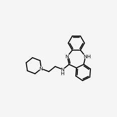 c1ccc2c(c1)N=C(NCCN1CCCCC1)c1ccccc1N2